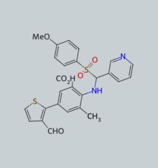 COc1ccc(S(=O)(=O)C(Nc2c(C)cc(-c3sccc3C=O)cc2C(=O)O)c2cccnc2)cc1